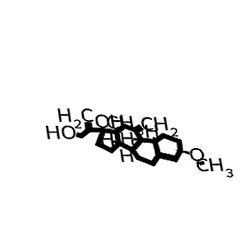 C=C1C[C@@]2(C)[C@@H](CC[C@@]2(O)C(=C)CO)[C@@H]2CCC3=C[C@H](OC)CC[C@@H]3[C@@H]12